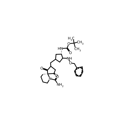 CC(C)(C)OC(=O)N[C@H]1CC(CC2CC(=O)[C@]3(CCCCN3C(N)=O)C2=O)CC1NOCc1ccccc1